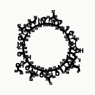 C/C=C/C[C@@H](C)[C@@H](O)[C@H]1C(=O)N[C@@H](CC)C(=O)N(C)CC(=O)N(C)[C@@H](CC(C)C)C(=O)N[C@@H](C(C)C)C(=O)N(C)[C@@H](CC(C)C)C(=O)N[C@@H](C)C(=O)N[C@H](C)C(=O)N(C)[C@@H](CC(C)C)C(=O)N(C)[C@@H](CC(C)C)C(=O)N(C)[C@@H](C(C)C)C(=O)N1C.CCO